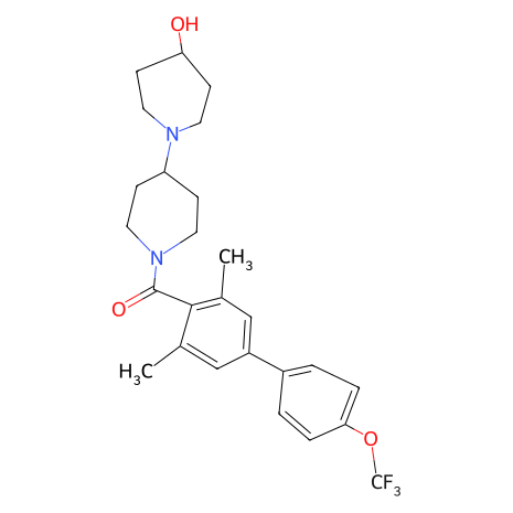 Cc1cc(-c2ccc(OC(F)(F)F)cc2)cc(C)c1C(=O)N1CCC(N2CCC(O)CC2)CC1